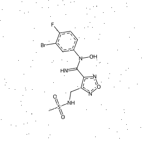 CS(=O)(=O)NCc1nonc1C(=N)N(O)c1ccc(F)c(Br)c1